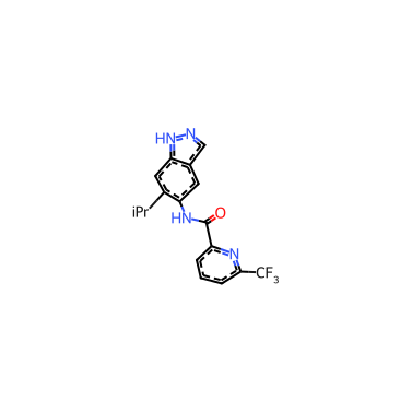 CC(C)c1cc2[nH]ncc2cc1NC(=O)c1cccc(C(F)(F)F)n1